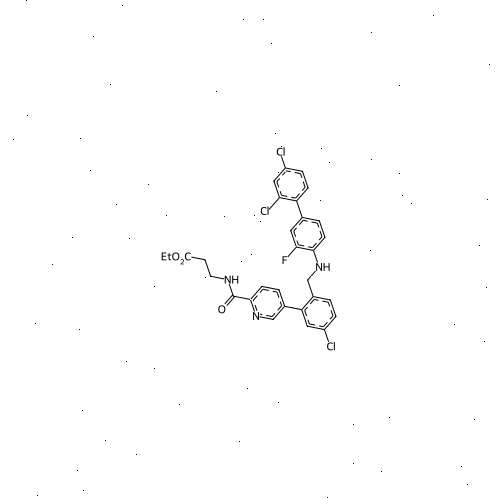 CCOC(=O)CCNC(=O)c1ccc(-c2cc(Cl)ccc2CNc2ccc(-c3ccc(Cl)cc3Cl)cc2F)cn1